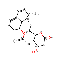 C=C(O[C@H]1CCC=C2C=C[C@H](C)[C@H](CC[C@@H]3C[C@@H](O)CC(=O)O3)C21)[C@@H](C)CC